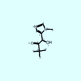 Cn1cncc1C(O)C(=O)C(C)(C)C